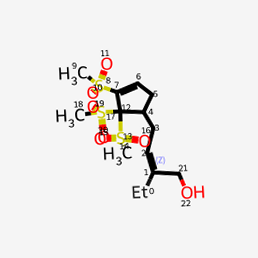 CC/C(=C/CC1CC=C(S(C)(=O)=O)C1(S(C)(=O)=O)S(C)(=O)=O)CO